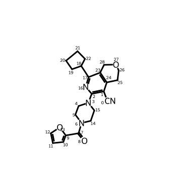 N#Cc1c(N2CCN(C(=O)c3ccco3)CC2)nc(C2CCCC2)c2c1CCOC2